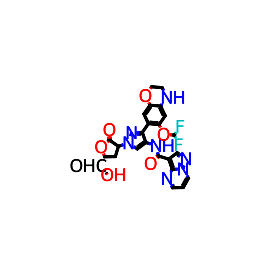 O=C(Nc1cn(C2CCOC2=O)nc1-c1cc2c(cc1OC(F)F)NCCO2)c1cnn2cccnc12.O=CO